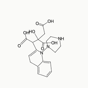 O=C(O)CC(O)(C(=O)O)C(C(=O)O)C1=CCc2ccccc2N1N1CCNCC1